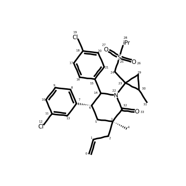 C=CC[C@@]1(C)C[C@H](c2cccc(Cl)c2)C(c2ccc(Cl)cc2)N(C2(CS(=O)(=O)C(C)C)CC2C)C1=O